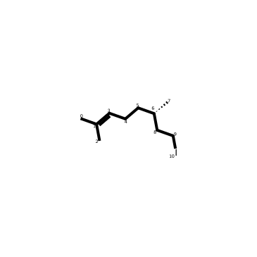 CC(C)=CCC[C@H](C)CCI